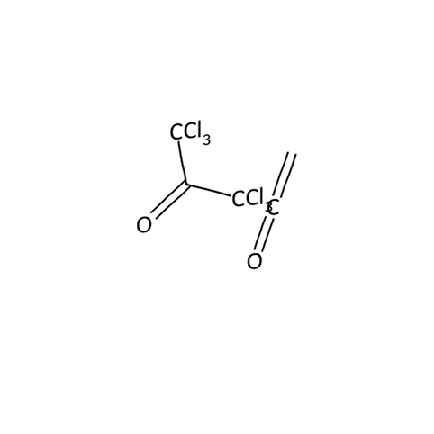 C=C=O.O=C(C(Cl)(Cl)Cl)C(Cl)(Cl)Cl